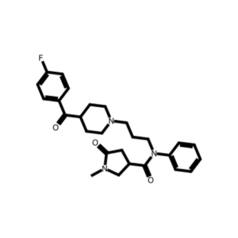 CN1CC(C(=O)N(CCCN2CCC(C(=O)c3ccc(F)cc3)CC2)c2ccccc2)CC1=O